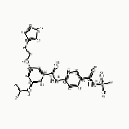 CC(C)Oc1cc(OCCc2ccsc2)cc(C(=O)Nc2ccc(C(=O)NS(C)(=O)=O)cn2)c1